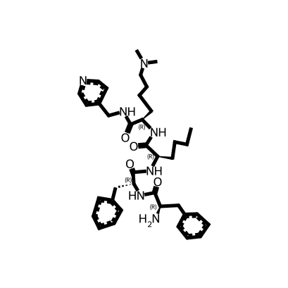 CCCC[C@@H](NC(=O)[C@@H](Cc1ccccc1)NC(=O)[C@H](N)Cc1ccccc1)C(=O)N[C@H](CCCCN(C)C)C(=O)NCc1ccncc1